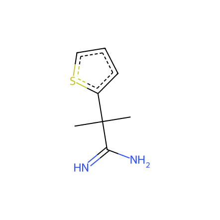 CC(C)(C(=N)N)c1cccs1